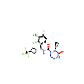 O=C1NCCN(C(=O)NC(c2ccc(F)c(Cl)c2F)[C@H]2C[C@H](C(F)(F)F)C2)[C@H]1C1CC1